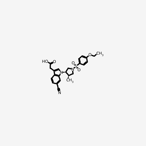 CCOc1ccc(S(=O)(=O)N2C[C@@H](C)[C@@H](n3cc(CC(=O)O)c4ccc(C#N)cc43)C2)cc1